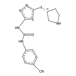 N#Cc1ccc(NC(=O)Nc2nnc(S[C@@H]3CCNC3)s2)cc1